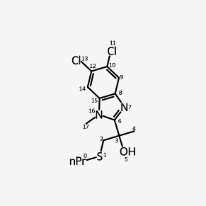 CCCSCC(C)(O)c1nc2cc(Cl)c(Cl)cc2n1C